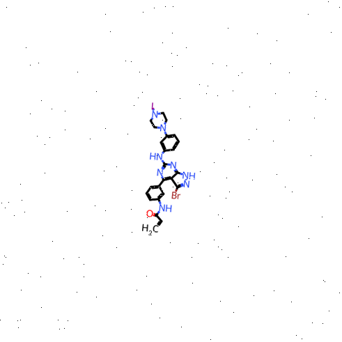 C=CC(=O)Nc1cccc(-c2nc(Nc3cccc(N4CCN(I)CC4)c3)nc3[nH]nc(Br)c23)c1